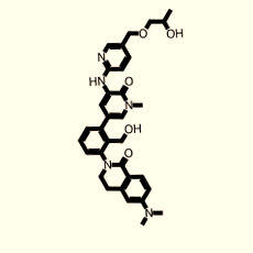 CC(O)COCc1ccc(Nc2cc(-c3cccc(N4CCc5cc(N(C)C)ccc5C4=O)c3CO)cn(C)c2=O)nc1